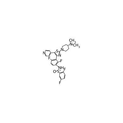 CN(C)C1CCN(c2nc(-c3c(F)ccc(N[S+]([O-])c4cc(F)ccc4F)c3F)c(-c3ccncc3)s2)CC1